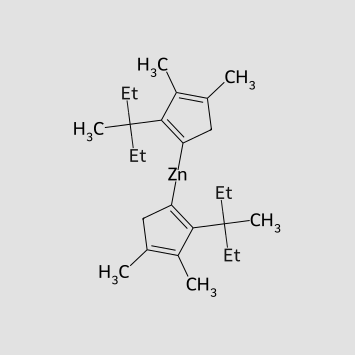 CCC(C)(CC)C1=[C]([Zn][C]2=C(C(C)(CC)CC)C(C)=C(C)C2)CC(C)=C1C